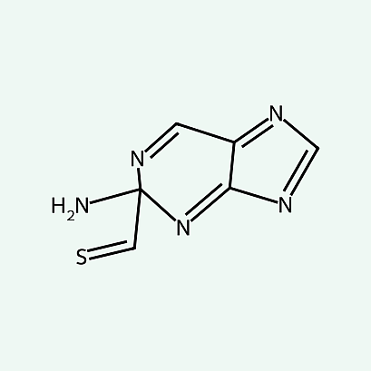 NC1(C=S)N=CC2=NC=NC2=N1